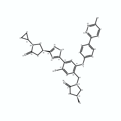 Cc1ccc(-c2ccc(Oc3cc(-c4nc([C@H]5CC(=O)N(C6CC6)C5)no4)c(F)cc3CN3C[C@@H](C)CC3=O)cc2)nn1